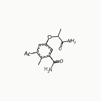 CC(=O)c1cc(OC(C)C(N)=O)cc(C(N)=O)c1C